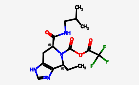 CC[C@H]1c2nc[nH]c2C[C@@H](C(=O)NCC(C)C)N1C(=O)OC(=O)C(F)(F)F